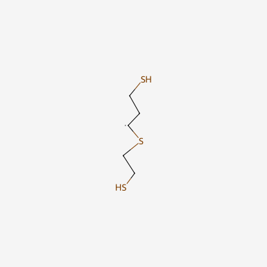 SCC[CH]SCCS